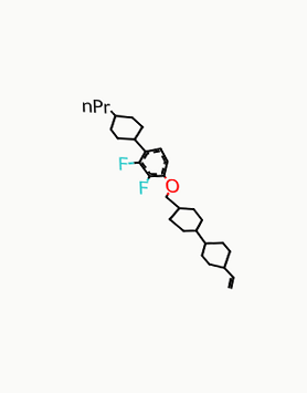 C=CC1CCC(C2CCC(COc3ccc(C4CCC(CCC)CC4)c(F)c3F)CC2)CC1